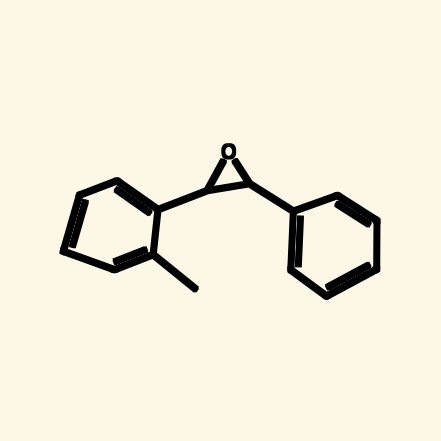 Cc1ccccc1C1OC1c1ccccc1